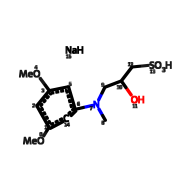 COc1cc(OC)cc(N(C)CC(O)CS(=O)(=O)O)c1.[NaH]